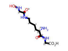 N[C@@H](CCCCNC(=O)CNO)C(=O)NCC(=O)O